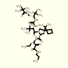 CCCNC(=O)C(=O)[C@H](CCC)NC(=O)[C@@H]1C[C@@]2(CN1C(=O)[C@@H](NC(=O)N[C@H](CNC(=O)C(C)(C)N)C(C)(C)C)C(C)(C)C)C(C)(C)C21CCC1